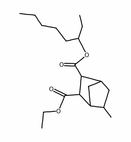 CCCCCC(CC)OC(=O)C1C2CC(C)C(C2)C1C(=O)OCC